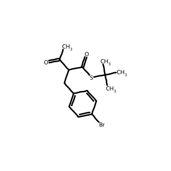 CC(=O)C(Cc1ccc(Br)cc1)C(=O)SC(C)(C)C